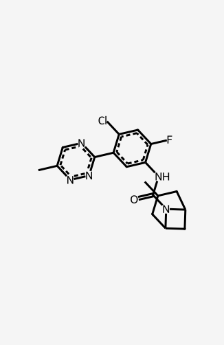 Cc1cnc(-c2cc(NC(=O)N3C4CC(C)CC3C4)c(F)cc2Cl)nn1